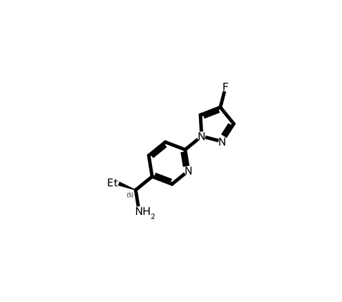 CC[C@H](N)c1ccc(-n2cc(F)cn2)nc1